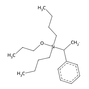 [CH2]C(c1ccccc1)[Si](CCCC)(CCCC)OCCC